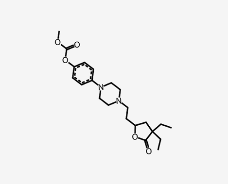 CCC1(CC)CC(CCN2CCN(c3ccc(OC(=O)OC)cc3)CC2)OC1=O